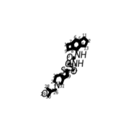 O=C(Nc1c2c(cc3c1CC3)CCC2)NS(=O)(=O)c1cc2c(s1)CCN(CC1COC1)C2